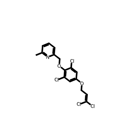 Cc1cccc(COc2c(Cl)cc(OCC=C(Cl)Cl)cc2Cl)n1